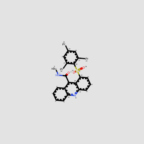 CCCCNC(=O)c1c2ccccc2nc2cccc(S(=O)(=O)c3c(C(C)C)cc(C(C)C)cc3C(C)C)c12